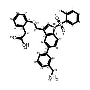 Cc1ccccc1S(=O)(=O)n1cc(COc2ccccc2CC(=O)O)c2cc(-c3cccc(CN)c3)ccc21